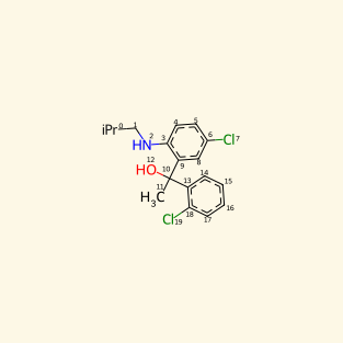 CC(C)CNc1ccc(Cl)cc1C(C)(O)c1ccccc1Cl